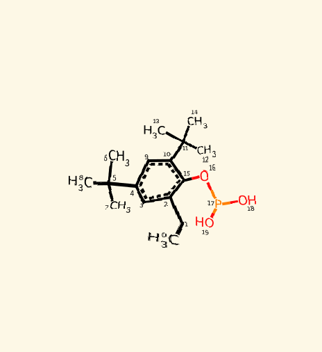 CCc1cc(C(C)(C)C)cc(C(C)(C)C)c1OP(O)O